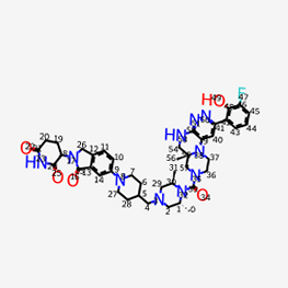 C[C@@H]1CN(CC2CCN(c3ccc4c(c3)C(=O)N([C@@H]3CCC(=O)NC3=O)C4)CC2)C[C@@H](C)N1C(=O)N1CCN2c3cc(-c4cccc(F)c4O)nnc3NC[C@@]2(C)C1